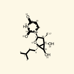 CC(C)CC[C@]12O[C@@H](n3ccc(=O)[nH]c3=O)[C@H](F)[C@@]1(O)C2O